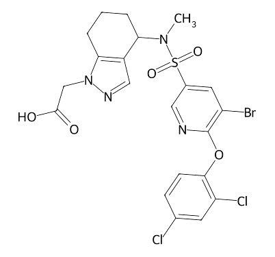 CN(C1CCCc2c1cnn2CC(=O)O)S(=O)(=O)c1cnc(Oc2ccc(Cl)cc2Cl)c(Br)c1